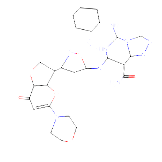 NC(=O)C1C(NC2CC(C3COC4C(=O)C=C(N5CCOCC5)OC43)NO2)NC(N[C@H]2CCCC[C@H]2N)N2CNNC12